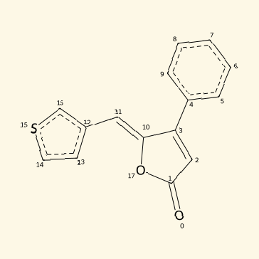 O=C1C=C(c2ccccc2)C(=Cc2ccsc2)O1